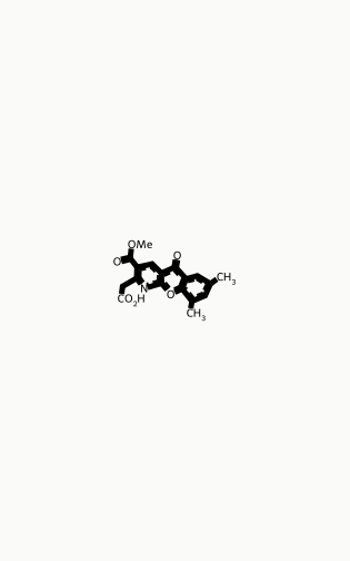 COC(=O)c1cc2c(=O)c3cc(C)cc(C)c3oc2nc1CC(=O)O